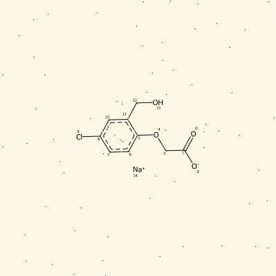 O=C([O-])COc1ccc(Cl)cc1CO.[Na+]